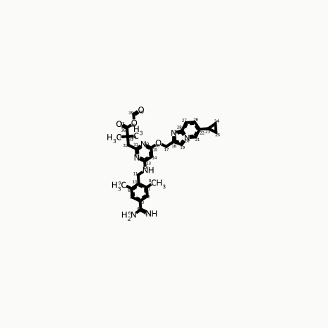 Cc1cc(C(=N)N)cc(C)c1CNc1cc(OCc2cn3cc(C4CC4)ccc3n2)nc(CC(C)(C)C(=O)OC=O)n1